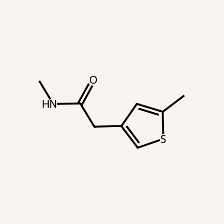 CNC(=O)Cc1csc(C)c1